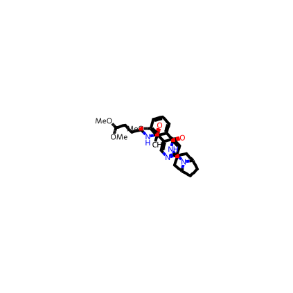 COc1cccc(C(=O)NC2CC3CCC(C2)N3c2ccc(C(=O)NCCCC(OC)OC)cn2)c1C